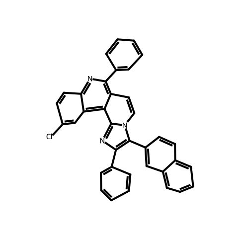 Clc1ccc2nc(-c3ccccc3)c3ccn4c(-c5ccc6ccccc6c5)c(-c5ccccc5)nc4c3c2c1